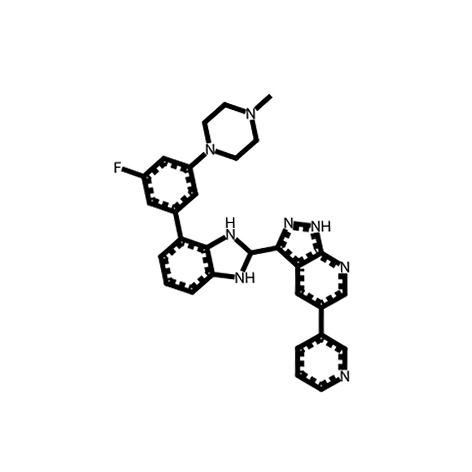 CN1CCN(c2cc(F)cc(-c3cccc4c3NC(c3n[nH]c5ncc(-c6cccnc6)cc35)N4)c2)CC1